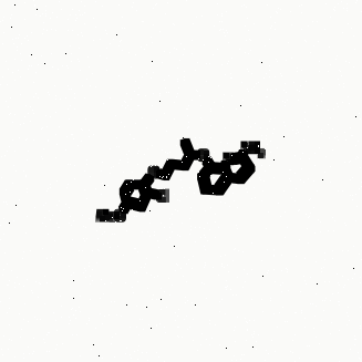 COc1ccc(OCCCC(C)Oc2cccc3ccc(N)nc23)c(Cl)c1